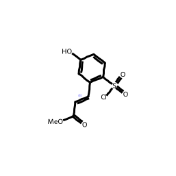 COC(=O)/C=C/c1cc(O)ccc1S(=O)(=O)Cl